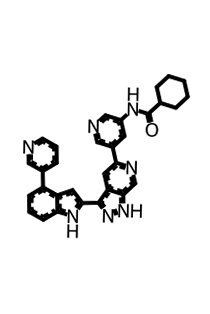 O=C(Nc1cncc(-c2cc3c(-c4cc5c(-c6cccnc6)cccc5[nH]4)n[nH]c3cn2)c1)C1CCCCC1